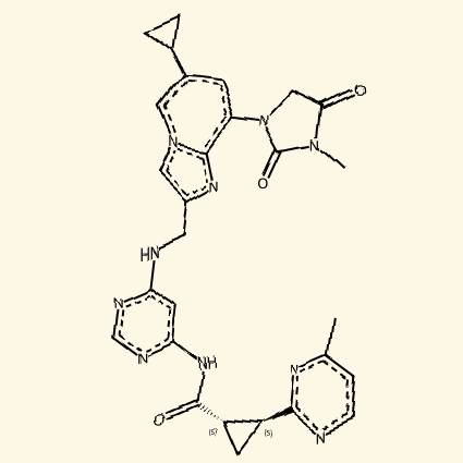 Cc1ccnc([C@H]2C[C@@H]2C(=O)Nc2cc(NCc3cn4cc(C5CC5)cc(N5CC(=O)N(C)C5=O)c4n3)ncn2)n1